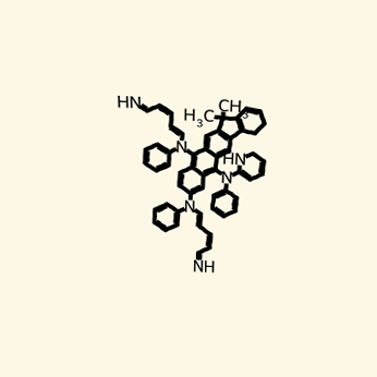 CC1(C)C2=C(CCC=C2)c2cc3c(N(C4=CC=CCN4)c4ccccc4)c4cc(N(/C=C/C=C\C=N)c5ccccc5)ccc4c(N(/C=C/C=C\C=N)c4ccccc4)c3cc21